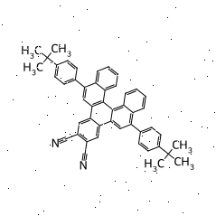 CC(C)(C)c1ccc(-c2cc3c4cc(C#N)c(C#N)cc4c4cc(-c5ccc(C(C)(C)C)cc5)c5ccccc5c4c3c3ccccc23)cc1